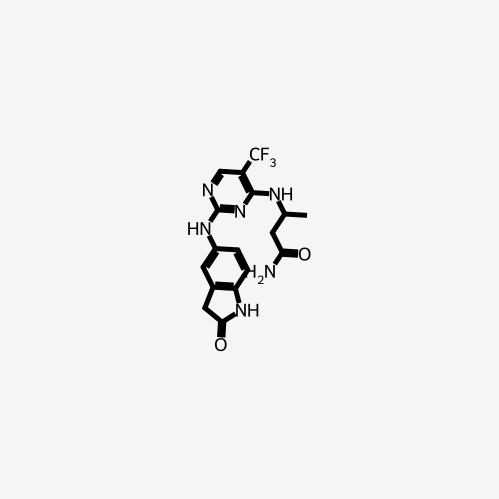 CC(CC(N)=O)Nc1nc(Nc2ccc3c(c2)CC(=O)N3)ncc1C(F)(F)F